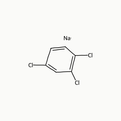 Clc1ccc(Cl)c(Cl)c1.[Na]